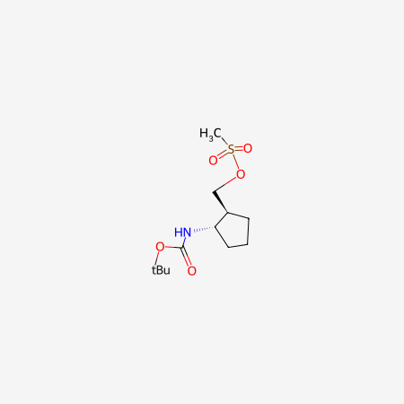 CC(C)(C)OC(=O)N[C@H]1CCC[C@@H]1COS(C)(=O)=O